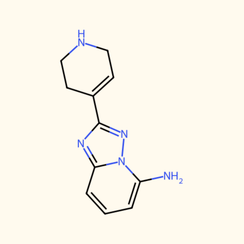 Nc1cccc2nc(C3=CCNCC3)nn12